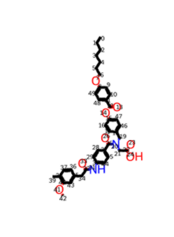 CCCCCCCOc1ccc(C(=O)Oc2ccc(CN(CC(=O)O)C(=O)c3ccc(NC(=O)Cc4ccc(C)c(OC)c4)cc3)cc2)cc1